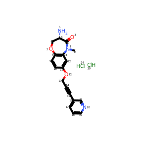 CN1C(=O)[C@@H](N)COc2ccc(OCC#Cc3cccnc3)cc21.Cl.Cl